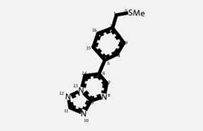 CSCc1ccc(-c2cnc3ncnn3c2)cc1